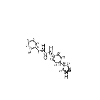 Cc1ccccc1CNC(=O)Nc1ccc(-c2cn[nH]c2)cc1